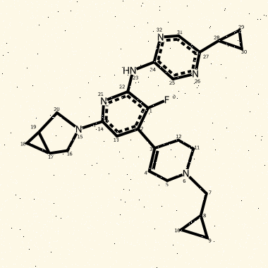 Fc1c(C2=CCN(CC3CC3)CC2)cc(N2CC3CC3C2)nc1Nc1cnc(C2CC2)cn1